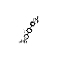 CCC[SiH]1CCC(c2ccc(-c3ccc(OC(F)F)cc3)cc2F)CC1